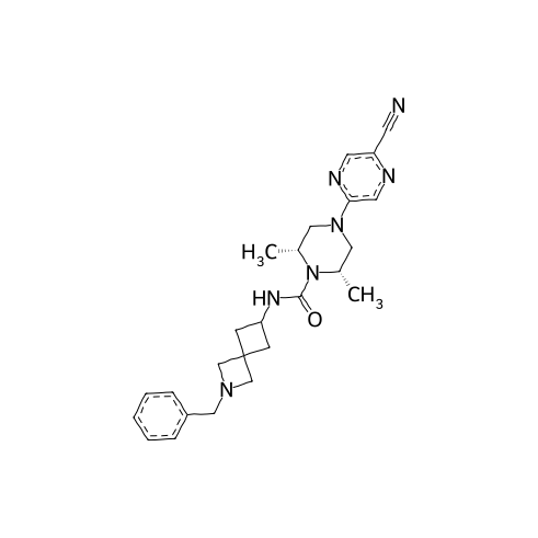 C[C@@H]1CN(c2cnc(C#N)cn2)C[C@H](C)N1C(=O)NC1CC2(C1)CN(Cc1ccccc1)C2